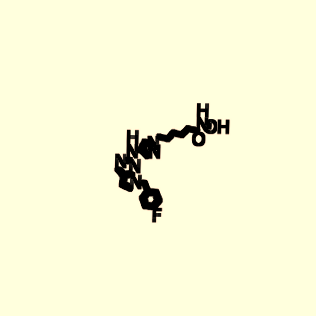 O=C(CCCCCn1cc(Nc2ncc3ccn(Cc4ccc(F)cc4)c3n2)cn1)NO